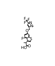 CC(C(=O)O)c1csc2cc(OCc3cc(C(F)(F)F)nn3C)cc(F)c12